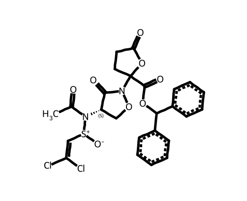 CC(=O)N([C@H]1CON(C2(C(=O)OC(c3ccccc3)c3ccccc3)CCC(=O)O2)C1=O)[S+]([O-])C=C(Cl)Cl